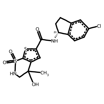 CC1(O)CNS(=O)(=O)c2sc(C(=O)N[C@@H]3CCc4cc(Cl)ccc43)cc21